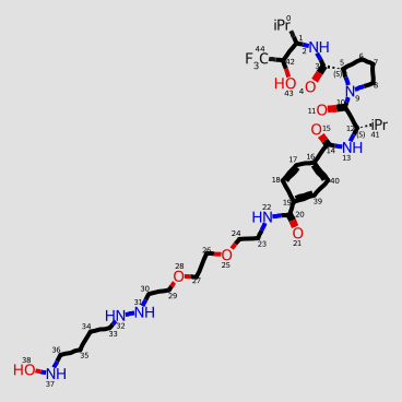 CC(C)C(NC(=O)[C@@H]1CCCN1C(=O)[C@@H](NC(=O)c1ccc(C(=O)NCCOCCOCCNNCCCCNO)cc1)C(C)C)C(O)C(F)(F)F